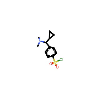 CN(C)C(c1ccc(S(=O)(=O)Cl)cc1)C1CC1